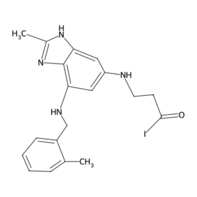 Cc1nc2c(NCc3ccccc3C)cc(NCCC(=O)I)cc2[nH]1